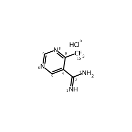 Cl.N=C(N)c1cncnc1C(F)(F)F